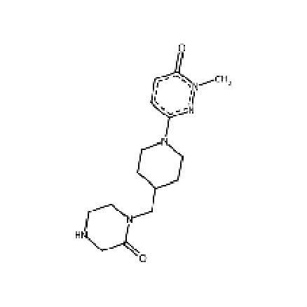 Cn1nc(N2CCC(CN3CCNCC3=O)CC2)ccc1=O